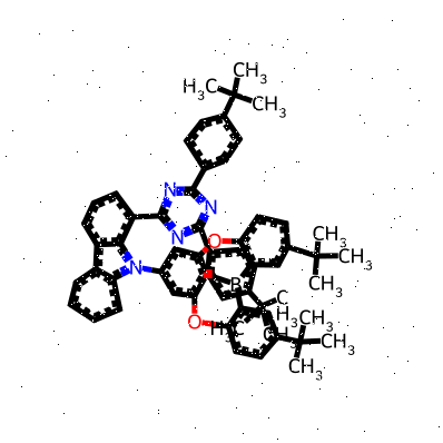 CC(C)(C)c1ccc(-c2nc(-c3ccc(C(C)(C)C)cc3)nc(-c3cccc4c5ccccc5n(-c5cc6c7c(c5)Oc5ccc(C(C)(C)C)cc5B7c5cc(C(C)(C)C)ccc5O6)c34)n2)cc1